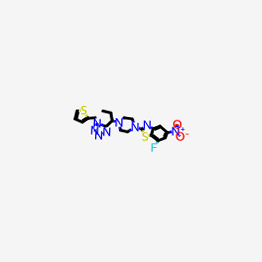 CCC(c1nnnn1Cc1cccs1)N1CCN(c2nc3cc([N+](=O)[O-])cc(F)c3s2)CC1